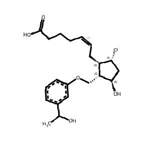 CC(O)c1cccc(OC[C@@H]2[C@@H](C/C=C\CCCC(=O)O)[C@H](Cl)C[C@H]2O)c1